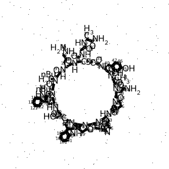 CCCC[C@H]1C(=O)N(C)[C@@H](CCCC)C(=O)N[C@@H](CCCNN)C(=O)N[C@H](C(=O)NCC(=O)N[C@@H](C)C(N)=O)CSCC(=O)N[C@@H](Cc2ccc(O)cc2)C(=O)N(C)[C@@H](C)C(=O)N[C@@H](CC(N)=O)C(=O)N2CCC[C@H]2C(=O)N[C@@H](Cc2cnc[nH]2)C(=O)N[C@@H](CC(C)C)C(=O)N2CCC[C@H]2C(=O)N[C@@H](Cc2c[nH]c3ccccc23)C[C@@H](CO)C(=O)N[C@@H](Cc2c[nH]c3ccccc23)C(=O)N1C